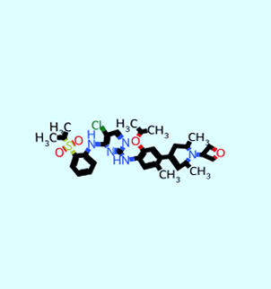 Cc1cc(Nc2ncc(Cl)c(Nc3ccccc3S(=O)(=O)C(C)C)n2)c(OC(C)C)cc1C1=CC(C)N(C2COC2)C(C)C1